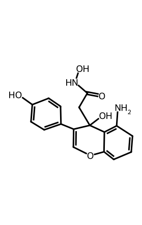 Nc1cccc2c1C(O)(CC(=O)NO)C(c1ccc(O)cc1)=CO2